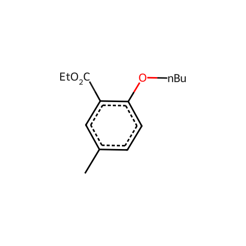 CCCCOc1ccc(C)cc1C(=O)OCC